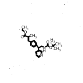 CCOC(=O)/C(C)=C/c1ccc(C(CNC(=O)OC(C)(C)C)c2cccnc2)cc1